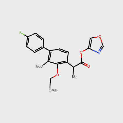 CCC(C(=O)Oc1cocn1)c1ccc(-c2ccc(F)cc2)c(OCC(C)C)c1OCOC